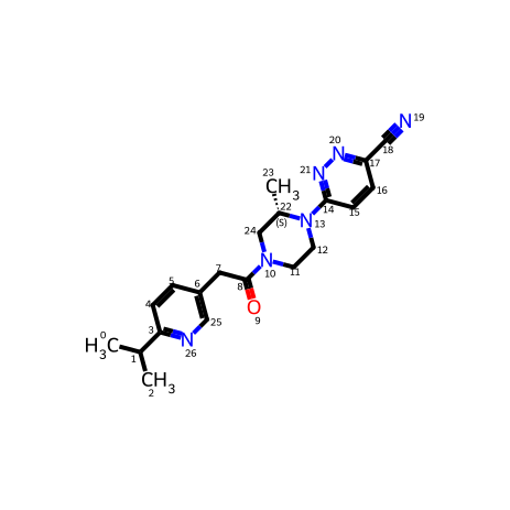 CC(C)c1ccc(CC(=O)N2CCN(c3ccc(C#N)nn3)[C@@H](C)C2)cn1